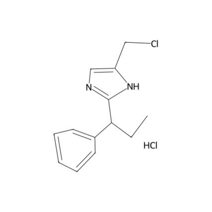 CCC(c1ccccc1)c1ncc(CCl)[nH]1.Cl